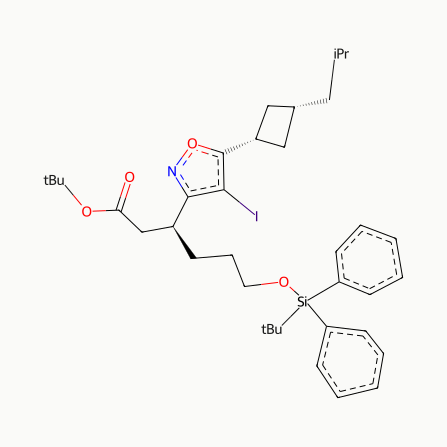 CC(C)C[C@H]1C[C@@H](c2onc([C@@H](CCCO[Si](c3ccccc3)(c3ccccc3)C(C)(C)C)CC(=O)OC(C)(C)C)c2I)C1